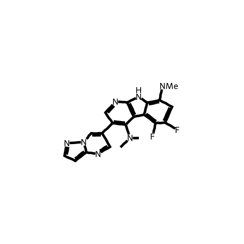 CNc1cc(F)c(F)c2c1[nH]c1ncc(-c3cnc4ccnn4c3)c(N(C)C)c12